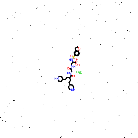 Cl.Cl.O=C(CNC(=O)C(CCC1CCNCC1)CCC1CCNCC1)NCC(NS(=O)(=O)c1ccc2c(c1)CCO2)C(=O)O